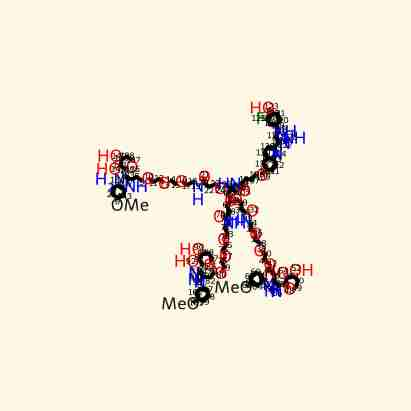 COc1cccc(N/C(CCOCCOCCOCCNC(=O)CCOCC(COCCC(=O)NCCOCCOCCOCCc2c([C@H]3OCC[C@@H](O)[C@H]3O)nnn2-c2cccc(OC)c2)(COCCC(=O)NCCOCCOCCOCCc2c([C@H]3OCC[C@@H](O)[C@H]3O)nnn2-c2cccc(OC)c2)NC(=O)CCCOc2ccc3nc(/C(=C/Nc4ccc(O)c(F)c4)N=N)ccc3c2)=C(\N)[C@H]2OCC[C@@H](O)[C@H]2O)c1